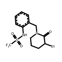 CCC1CCCN(Cc2ccccc2NS(=O)(=O)C(F)(F)F)C1=O